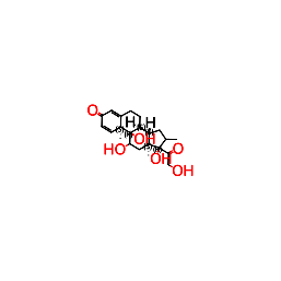 CC1C[C@H]2[C@@H]3CCC4=CC(=O)C=C[C@]4(C)[C@@]3(O)C(O)C[C@]2(C)[C@@]1(O)C(=O)CO